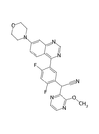 COc1nccnc1C(C#N)c1cc(-c2ncnc3cc(N4CCOCC4)ccc23)c(F)cc1F